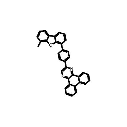 Cc1cccc2c1oc1c(-c3ccc(-c4cnc5c6ccccc6c6ccccc6c5n4)cc3)cccc12